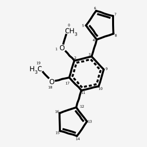 COc1c(C2=CC=CC2)ccc(C2=CC=CC2)c1OC